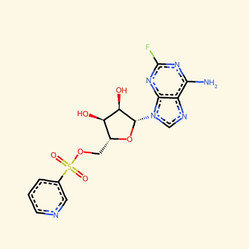 Nc1nc(F)nc2c1ncn2[C@@H]1O[C@H](COS(=O)(=O)c2cccnc2)[C@@H](O)[C@H]1O